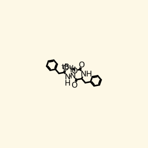 CC(C)(C)OC(=O)NC(Cc1ccccc1)C(=O)NNC(=O)Cc1ccccc1